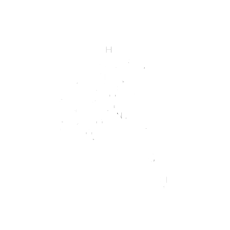 COc1cccc(CN(Cc2cccc(OC)c2)S(=O)(=O)c2c(C)csc2C(=O)O)c1